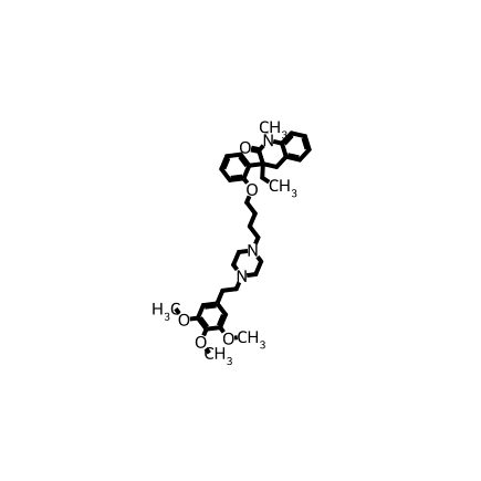 CCC1(c2ccccc2OCCCCN2CCN(CCc3cc(OC)c(OC)c(OC)c3)CC2)Cc2ccccc2N(C)C1=O